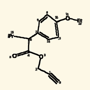 C#CCOC(=O)C(c1ccc(OCC)cc1)C(C)C